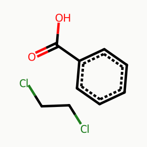 ClCCCl.O=C(O)c1ccccc1